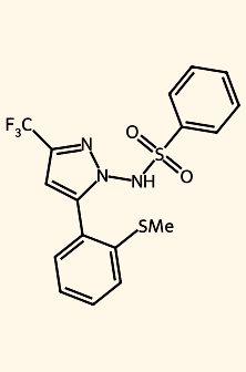 CSc1ccccc1-c1cc(C(F)(F)F)nn1NS(=O)(=O)c1ccccc1